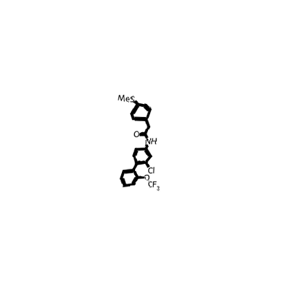 CSc1ccc(CC(=O)Nc2ccc(-c3ccccc3OC(F)(F)F)c(Cl)c2)cc1